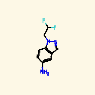 Nc1ccc2c(cnn2CC(F)F)c1